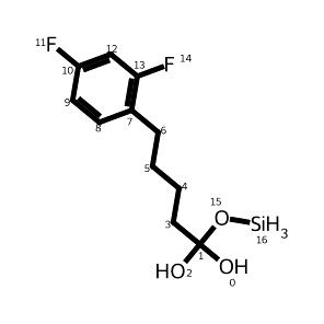 OC(O)(CCCCc1ccc(F)cc1F)O[SiH3]